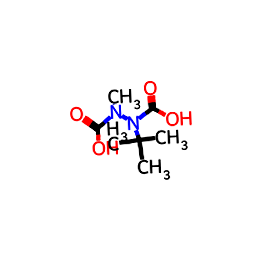 CN(C(=O)O)N(C(=O)O)C(C)(C)C